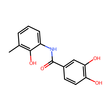 Cc1cccc(NC(=O)c2ccc(O)c(O)c2)c1O